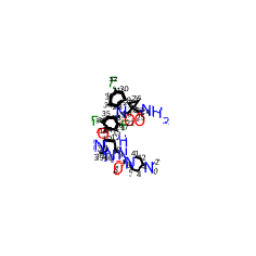 CN(C)C1CCN(C(=O)Nc2cc(Oc3cc(F)c(N(C(=O)C4(C(N)=O)CC4)c4ccc(F)cc4)cc3F)ncn2)CC1